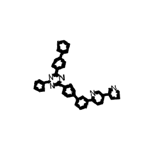 c1ccc(-c2ccc(-c3nc(-c4ccccc4)nc(-c4ccc(-c5cccc(-c6ccc(-c7cccnc7)cn6)c5)cc4)n3)cc2)cc1